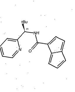 CC(C)(C)[C@@H](NC(=O)C1=CC=C2C=CC=C21)c1ccccn1